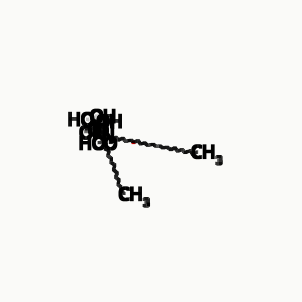 CCCCCCCCCCCCCCCCCCCCCCCC(=O)N[C@@H](CO[C@H]1O[C@H](CO)[C@H](O)[C@H](O)[C@H]1O)[C@H](O)CCCCCCCCCCCCCCC